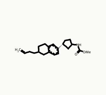 C=CCCC1CCc2cc([C@@H]3CCC(NC(=O)OC)C3)ccc2C1